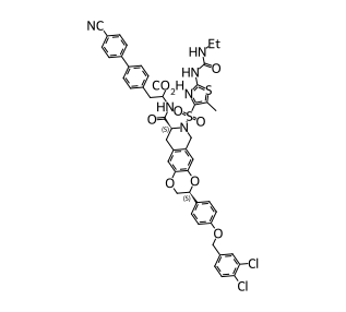 CCNC(=O)Nc1nc(S(=O)(=O)N2Cc3cc4c(cc3C[C@H]2C(=O)NC(Cc2ccc(-c3ccc(C#N)cc3)cc2)C(=O)O)OC[C@H](c2ccc(OCc3ccc(Cl)c(Cl)c3)cc2)O4)c(C)s1